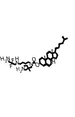 CCC(C)(CN)CN(CCCCNCC(F)(F)CN)C(=O)OC1CC[C@@]2(C)C(=CC[C@H]3C4CCC(CCCCC(C)C)[C@@]4(C)CCC32)C1